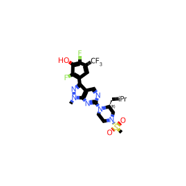 CC(C)C[C@@H]1CN(S(C)(=O)=O)CCN1c1ncc2c(-c3cc(C(F)(F)F)c(F)c(O)c3F)nn(C)c2n1